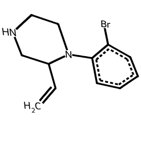 C=CC1CNCCN1c1ccccc1Br